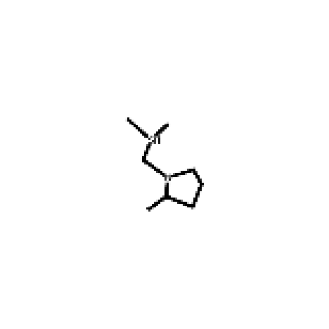 CC1CCCN1C[SH](C)C